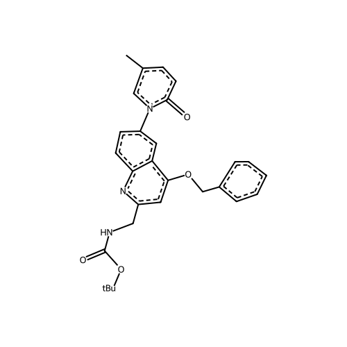 Cc1ccc(=O)n(-c2ccc3nc(CNC(=O)OC(C)(C)C)cc(OCc4ccccc4)c3c2)c1